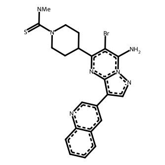 CNC(=S)N1CCC(c2nc3c(-c4cnc5ccccc5c4)cnn3c(N)c2Br)CC1